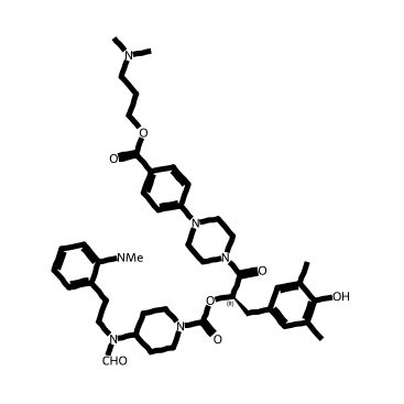 CNc1ccccc1CCN(C=O)C1CCN(C(=O)O[C@H](Cc2cc(C)c(O)c(C)c2)C(=O)N2CCN(c3ccc(C(=O)OCCCN(C)C)cc3)CC2)CC1